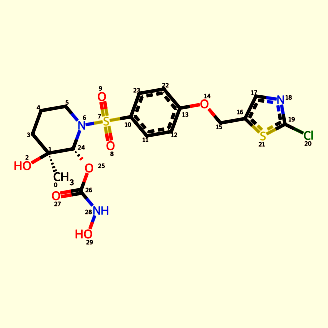 C[C@]1(O)CCCN(S(=O)(=O)c2ccc(OCc3cnc(Cl)s3)cc2)[C@@H]1OC(=O)NO